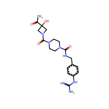 CC(=O)C1(O)CN(C(=O)N2CCN(C(=O)NCc3ccc(NC(=N)N)cc3)CC2)C1